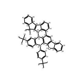 CC(C)(C)c1ccc(N2c3ccc(C(C)(C)C)cc3B3c4c(cc5c(oc6ccccc65)c42)-c2cccc4c5c(n3c24)C(C)(C)c2ccccc2-5)cc1